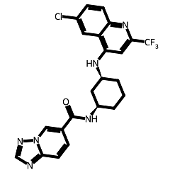 O=C(N[C@@H]1CCC[C@H](Nc2cc(C(F)(F)F)nc3ccc(Cl)cc23)C1)c1ccc2ncnn2c1